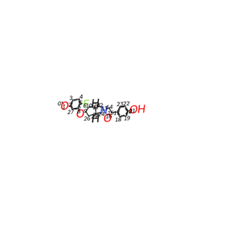 COc1ccc(F)c(O[C@@H]2C[C@@H]3CN(CC(=O)c4ccc(O)cc4)C[C@@H]3C2)c1